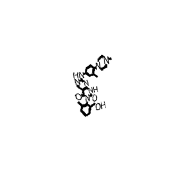 Cc1cc(Nc2ncc3c(=O)n(-c4c(C)cccc4CO)c(=O)[nH]c3n2)ccc1N1CCN(C)CC1